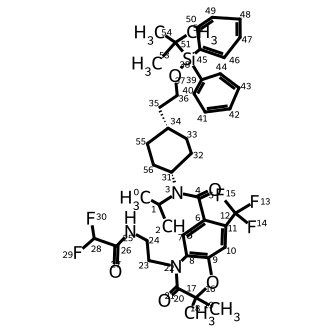 CC(C)N(C(=O)c1cc2c(cc1C(F)(F)F)OC(C)(C)C(=O)N2CCNC(=O)C(F)F)[C@H]1CC[C@@H](CCO[Si](c2ccccc2)(c2ccccc2)C(C)(C)C)CC1